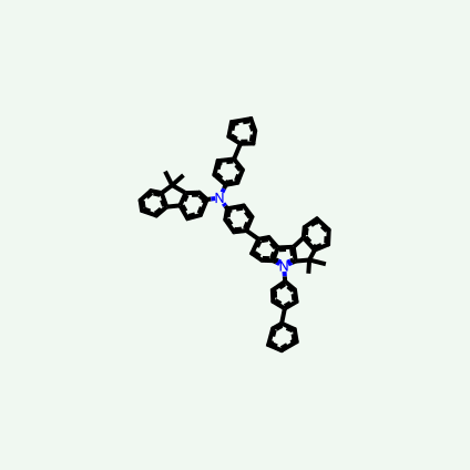 CC1(C)c2ccccc2-c2ccc(N(c3ccc(-c4ccccc4)cc3)c3ccc(-c4ccc5c(c4)c4c(n5-c5ccc(-c6ccccc6)cc5)C(C)(C)c5ccccc5-4)cc3)cc21